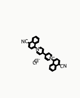 N#Cc1ccc(-[n+]2ccc(-c3cc[n+](-c4ccc(C#N)c5ccccc45)cc3)cc2)c2ccccc12.[Cl-].[Cl-]